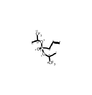 C=CCP(=O)(OC(C)C(F)(F)F)OC(C)C(F)(F)F